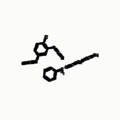 Cc1ccccc1.N=C=O.N=C=O.O=C=Nc1ccc(Cl)c(N=C=O)c1